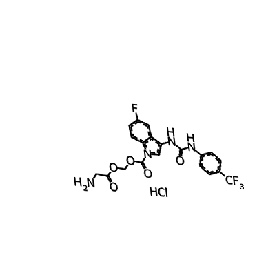 Cl.NCC(=O)OCOC(=O)n1cc(NC(=O)Nc2ccc(C(F)(F)F)cc2)c2cc(F)ccc21